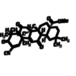 [C-]#[N+]C1=C[C@]2(C)C3=CC(=O)[C@@H]4[C@@H]5CC(C)(C)CC[C@]5(C(=O)OC)CC[C@@]4(C)[C@]3(C)CC(=O)[C@H]2C(C)(C)C1=O